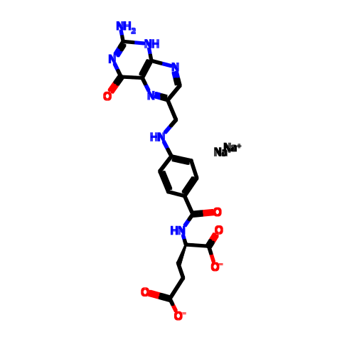 Nc1nc(=O)c2nc(CNc3ccc(C(=O)N[C@H](CCC(=O)[O-])C(=O)[O-])cc3)cnc2[nH]1.[Na+].[Na+]